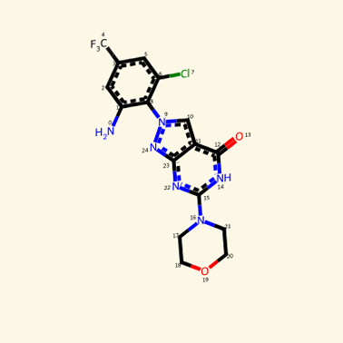 Nc1cc(C(F)(F)F)cc(Cl)c1-n1cc2c(=O)[nH]c(N3CCOCC3)nc2n1